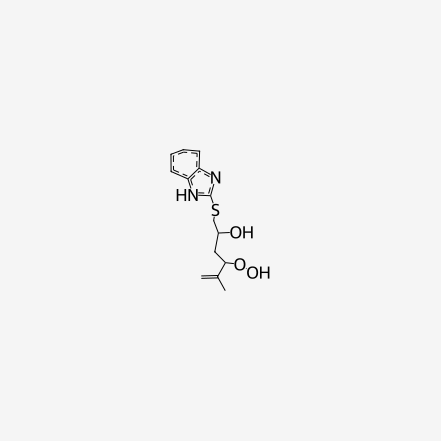 C=C(C)C(CC(O)CSc1nc2ccccc2[nH]1)OO